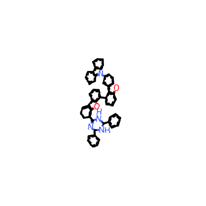 C1=c2c(oc3c(-c4cccc5oc6ccc(-n7c8ccccc8c8ccccc87)cc6c45)cccc23)=C(C2=NC(c3ccccc3)NC(c3ccccc3)N2)CC1